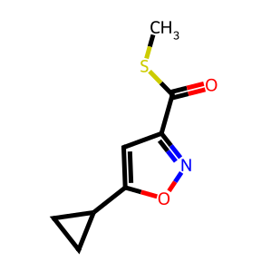 CSC(=O)c1cc(C2CC2)on1